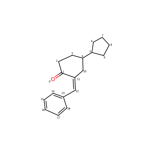 O=C1CCC(C2CCCC2)CC1=Cc1ccccc1